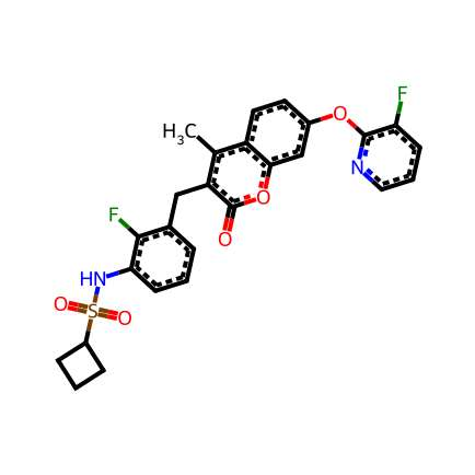 Cc1c(Cc2cccc(NS(=O)(=O)C3CCC3)c2F)c(=O)oc2cc(Oc3ncccc3F)ccc12